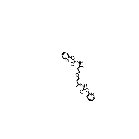 CC(CCOCCC(C)NC(=O)Oc1ccccn1)NC(=O)Oc1ccccn1